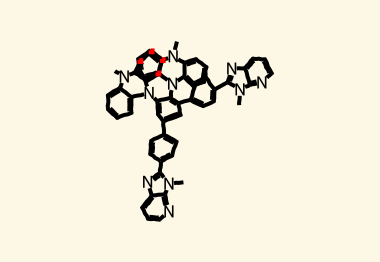 CN1c2ccccc2N(c2cc(-c3ccc(-c4nc5cccnc5n4C)cc3)cc(-c3ccc(-c4nc5cccnc5n4C)cc3)c2N2c3ccccc3N(C)c3ccccc32)c2ccccc21